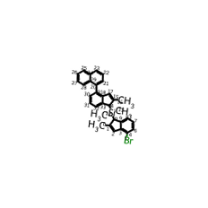 CC1=Cc2c(Br)cccc2C1[Si](C)(C)C1C(C)=Cc2c(-c3cccc4ccccc34)cccc21